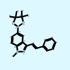 Cn1nc(/C=C/c2ccccc2)c2cc(B3OC(C)(C)C(C)(C)O3)ccc21